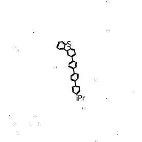 CC(C)c1ccc(-c2ccc(-c3ccc(-c4ccc5sc6ccccc6c5c4)cc3)cc2)cc1